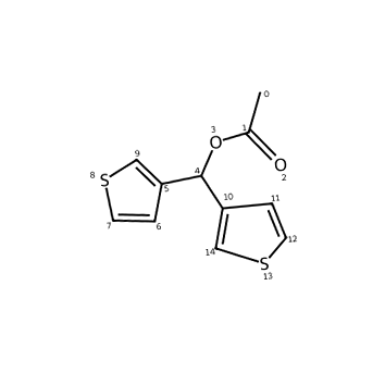 CC(=O)OC(c1ccsc1)c1ccsc1